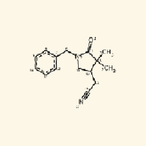 CC1(C)C(=O)N(Cc2ccccc2)CC1CC#N